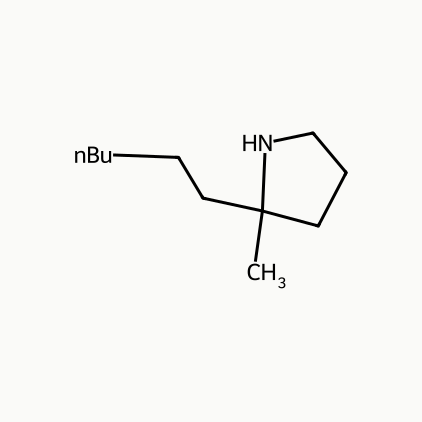 CCCCCCC1(C)CCCN1